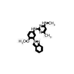 CNc1cc(C)nc(Nc2ccc(OC)c(-n3cc4ccccc4n3)c2)n1